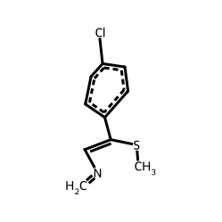 C=N/C=C(\SC)c1ccc(Cl)cc1